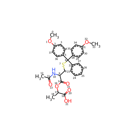 COc1ccc(C(SCC(NC(C)=O)C(=O)OC(C)C(=O)O)(c2ccccc2)c2ccc(OC)cc2)cc1